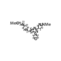 CNc1ccc(-c2nc(N3CCOCC3)c3cc(CN4CCC(N(C)CCOC)CC4)sc3n2)cn1